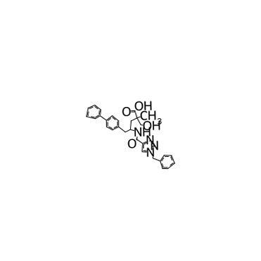 CC(CO)(CC(Cc1ccc(-c2ccccc2)cc1)NC(=O)c1cn(Cc2ccccc2)nn1)C(=O)O